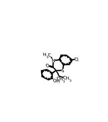 CC(C)C1(c2ccccc2O)Sc2cc(Cl)ccc2N(C)C1=O